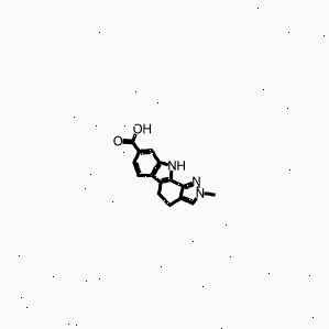 Cn1cc2c(n1)-c1[nH]c3cc(C(=O)O)ccc3c1CC2